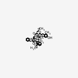 COC(=O)C12CC3CC(CC(NC(=O)[C@H](Cc4ccccc4)NC(=O)CNC(=O)[C@@H](CCSC)NC(=O)C(Cc4c(C)cc(O)cc4C)NC(=O)OC(C)(C)C)(C3)C1)C2